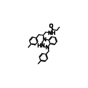 CCC(=O)NCC(Cc1ccc(C)cc1)N(C=N)c1ccccc1N(C)Cc1ccc(C)cc1